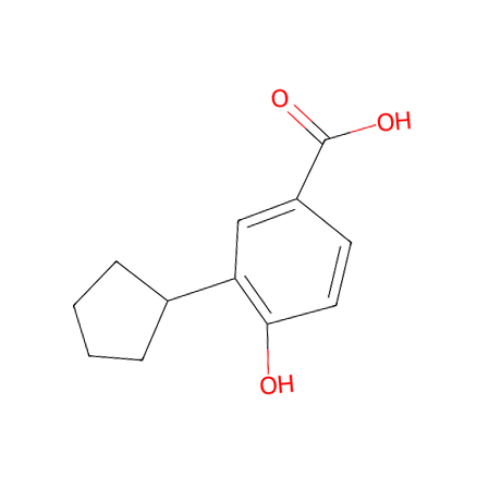 O=C(O)c1ccc(O)c(C2CCCC2)c1